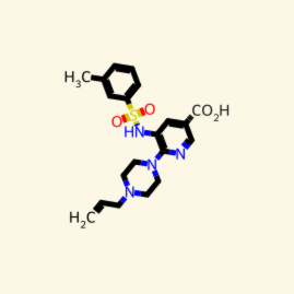 C=CCN1CCN(c2ncc(C(=O)O)cc2NS(=O)(=O)c2cccc(C)c2)CC1